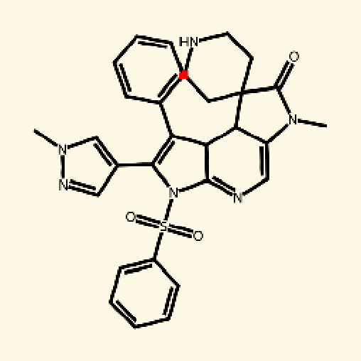 CN1C(=O)C2(CCNCC2)C2C1=CN=C1C2C(c2ccccc2)=C(c2cnn(C)c2)N1S(=O)(=O)c1ccccc1